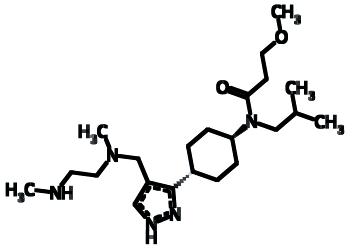 CNCCN(C)Cc1c[nH]nc1[C@H]1CC[C@H](N(CC(C)C)C(=O)CCOC)CC1